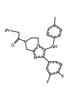 Cc1ccc(Nc2c(-c3ccc(F)c(F)c3)nc3n2CCN(C(=O)CC(C)C)C3)cc1